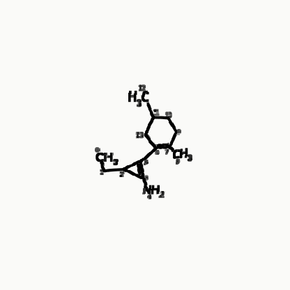 CCC1C(N)=C1C1=C(C)CCC(C)C1